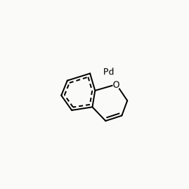 C1=Cc2ccccc2OC1.[Pd]